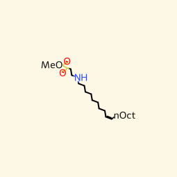 CCCCCCCC/C=C\CCCCCCCCNCCS(=O)(=O)OC